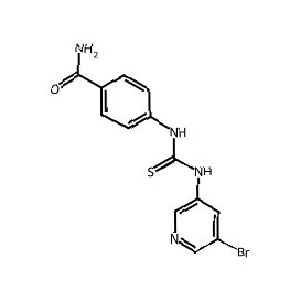 NC(=O)c1ccc(NC(=S)Nc2cncc(Br)c2)cc1